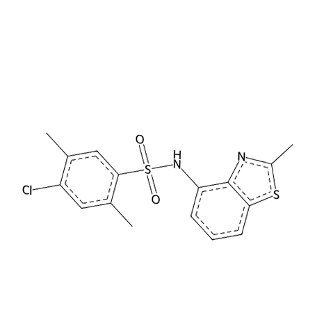 Cc1nc2c(NS(=O)(=O)c3cc(C)c(Cl)cc3C)cccc2s1